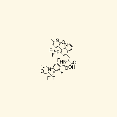 Cc1cc(C(F)(F)F)c(-c2ccc(CC(NC(=O)c3c(F)cc(N4C[C@@H](C)OC[C@@H]4C(F)(F)F)cc3F)C(=O)O)c3cccnc23)c(=O)n1C